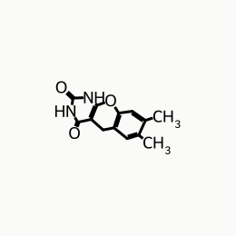 Cc1cc2c(cc1C)Oc1[nH]c(=O)[nH]c(=O)c1C2